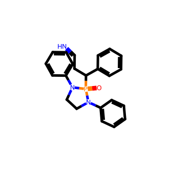 N=CCC(c1ccccc1)P1(=O)N(c2ccccc2)CCN1c1ccccc1